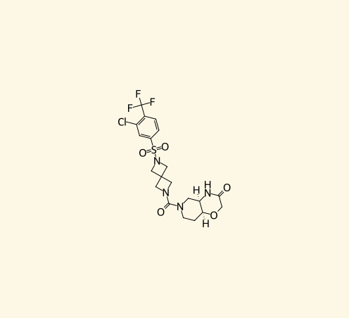 O=C1CO[C@H]2CCN(C(=O)N3CC4(C3)CN(S(=O)(=O)c3ccc(C(F)(F)F)c(Cl)c3)C4)C[C@H]2N1